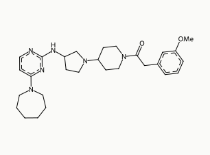 COc1cccc(CC(=O)N2CCC(N3CCC(Nc4nccc(N5CCCCCC5)n4)C3)CC2)c1